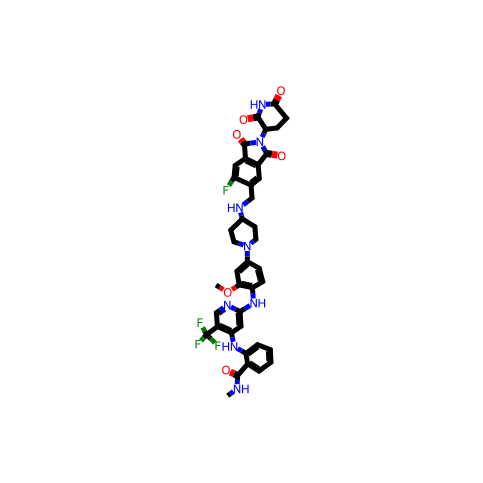 CNC(=O)c1ccccc1Nc1cc(Nc2ccc(N3CCC(NCc4cc5c(cc4F)C(=O)N(C4CCC(=O)NC4=O)C5=O)CC3)cc2OC)ncc1C(F)(F)F